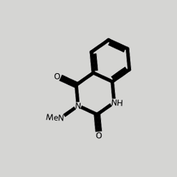 CNn1c(=O)[nH]c2ccccc2c1=O